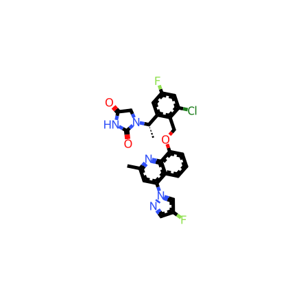 Cc1cc(-n2cc(F)cn2)c2cccc(OCc3c(Cl)cc(F)cc3[C@H](C)N3CC(=O)NC3=O)c2n1